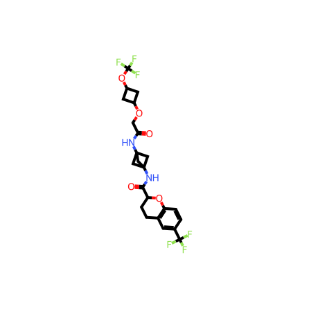 O=C(COC1CC(OC(F)(F)F)C1)NC12CC(NC(=O)C3CCc4cc(C(F)(F)F)ccc4O3)(C1)C2